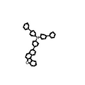 c1ccc(-c2ccc(N(c3ccc(-c4ccccc4)cc3)c3ccc(-c4ccc5c(ccc6oc7ccccc7c65)c4)cc3)cc2)cc1